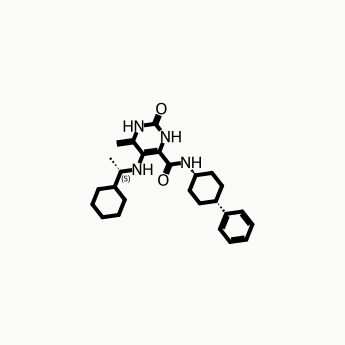 C=C1NC(=O)NC(C(=O)N[C@H]2CC[C@@H](c3ccccc3)CC2)=C1N[C@@H](C)C1CCCCC1